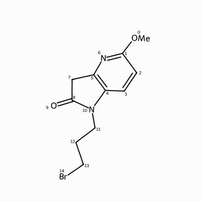 COc1ccc2c(n1)CC(=O)N2CCCBr